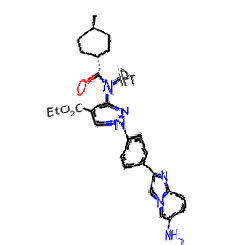 CCOC(=O)c1cn(-c2ccc(-c3cn4cc(N)ccc4n3)cc2)nc1N(C(=O)[C@H]1CC[C@H](C)CC1)C(C)C